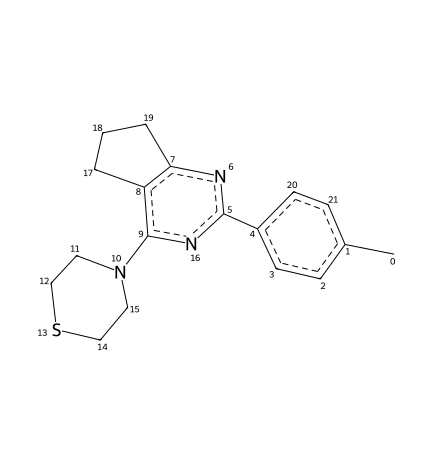 Cc1ccc(-c2nc3c(c(N4CCSCC4)n2)CCC3)cc1